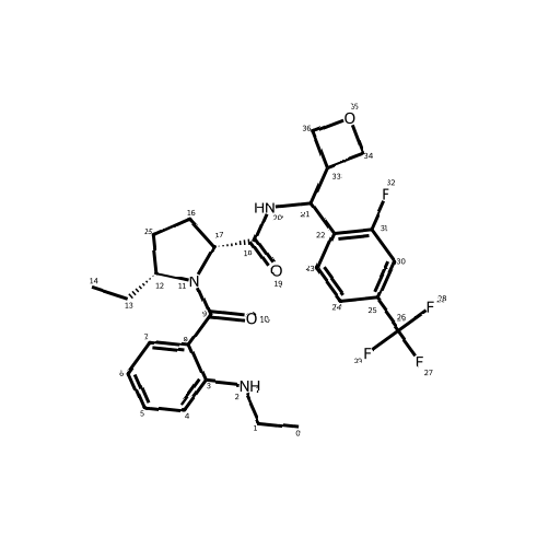 CCNc1ccccc1C(=O)N1[C@H](CC)CC[C@@H]1C(=O)NC(c1ccc(C(F)(F)F)cc1F)C1COC1